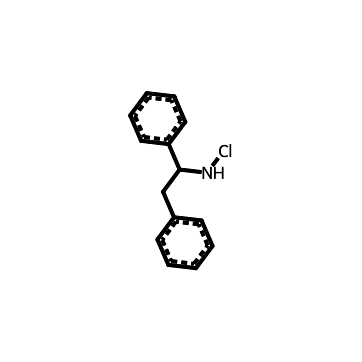 ClNC(Cc1ccccc1)c1ccccc1